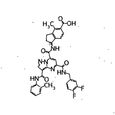 Cc1ccccc1NC(=O)c1cnn2c(C(=O)N[C@H]3CCc4c3ccc(C(=O)O)c4C)cc(C(=O)NCc3ccc(F)c(F)c3)nc12